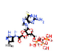 CC(C)(C)c1cc(NC(=O)C2OC3C(COP(=O)(O)OP(=O)(O)OP(=O)(O)O)OC(n4cnc5c(=S)[nH]c(N)nc54)C3O2)[nH]n1